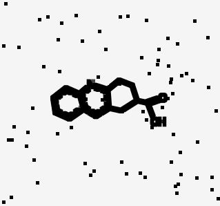 O=C(O)C1CCc2nc3ccccc3cc2C1